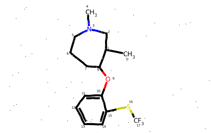 CC1CN(C)CCCC1Oc1ccccc1SC(F)(F)F